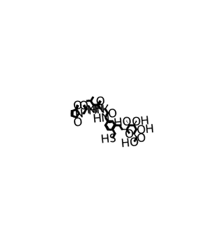 CC(C)[C@H](NC(=O)CN1C(=O)C=CC1=O)C(=O)N[C@@H](C)C(=O)Nc1ccc(CS)c(CC[C@@H]2O[C@H](C(=O)O)[C@@H](O)[C@H](O)[C@H]2O)c1